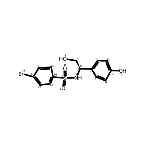 O=S(=O)(N[C@@H](CO)c1ccc(O)cc1)c1ccc(Br)cc1